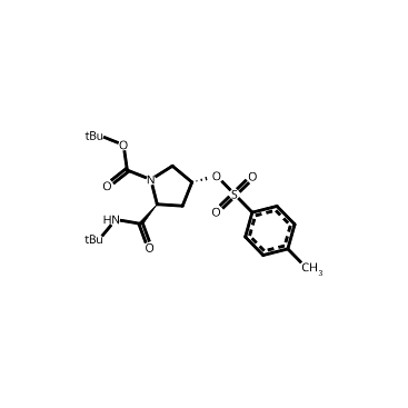 Cc1ccc(S(=O)(=O)O[C@@H]2C[C@@H](C(=O)NC(C)(C)C)N(C(=O)OC(C)(C)C)C2)cc1